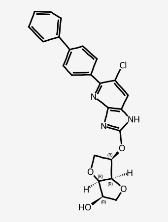 O[C@@H]1CO[C@H]2[C@@H]1OC[C@H]2Oc1nc2nc(-c3ccc(-c4ccccc4)cc3)c(Cl)cc2[nH]1